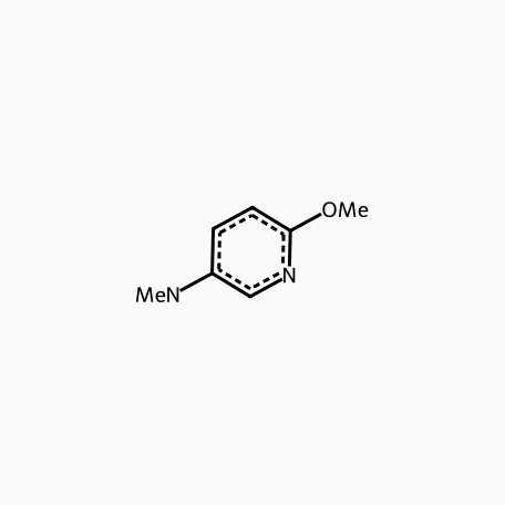 CNc1ccc(OC)nc1